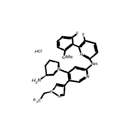 COc1cccc(F)c1-c1nc(Nc2cc(N3CCC[C@H](N)C3)c(-c3cnn(CC(F)(F)F)c3)cn2)ccc1F.Cl